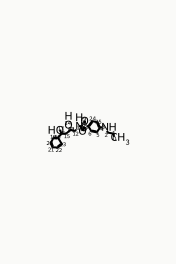 CCCNc1ccc(S(=O)(=O)NC[C@H](O)CC(O)c2ccccc2)cc1